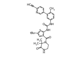 C#Cc1ccc(-c2cc(NC(=O)Nc3sc(C(C)(C)C)cc3C(=O)N3CCNC(=O)C3(C)C)ccc2C)cn1